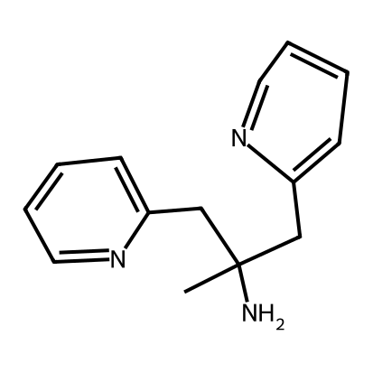 CC(N)(Cc1ccccn1)Cc1ccccn1